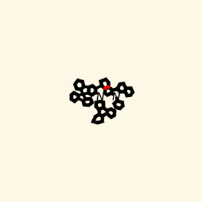 c1ccc(-c2cc3c(cc2N(c2ccc4c5ccccc5c5ccccc5c4c2)c2ccc4c5ccc6ccccc6c5n(-c5ccccc5)c4c2)C2(c4ccccc4-c4ccccc42)c2ccccc2-3)cc1